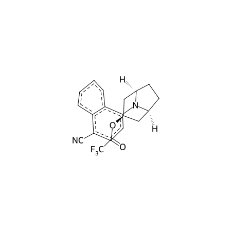 N#Cc1ccc(N2[C@@H]3CC[C@H]2C[C@@H](OC(=O)C(F)(F)F)C3)c2ccccc12